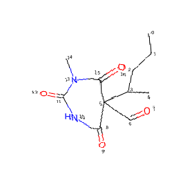 CCCC(C)C1(C=O)C(=O)NC(=O)N(C)C1=O